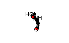 Oc1ccc2cnc(Nc3ccc(N4CCC(CCCN5CCOCC5)CC4)cc3)nc2c1C1CCCC1